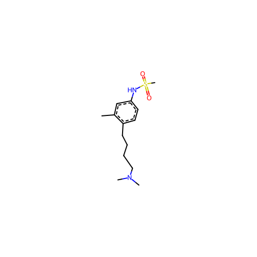 Cc1cc(NS(C)(=O)=O)ccc1CCCCN(C)C